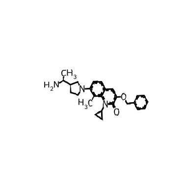 Cc1c(N2CC[C@@H]([C@H](C)N)C2)ccc2cc(OCc3ccccc3)c(=O)n(C3CC3)c12